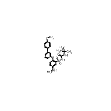 COc1ccc(-c2cccc(Oc3ccc(NO)cc3S(=O)(=O)NC(=O)NC(C)(C)C)c2)cc1